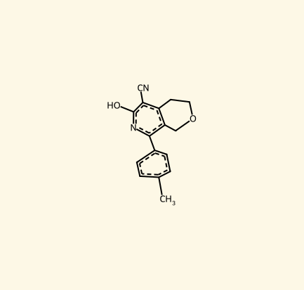 Cc1ccc(-c2nc(O)c(C#N)c3c2COCC3)cc1